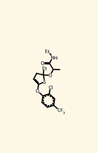 CCNC(=O)C(C)OC1(CC)CC=C(Oc2ccc(C(F)(F)F)cc2Cl)S1